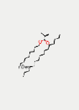 C=C(C)C(=O)OCCCCCCCCCCCCCCCCCC.CCCCCCCCCCCCCCCC